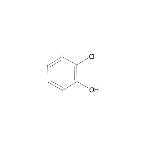 Oc1ccc[c]c1Cl